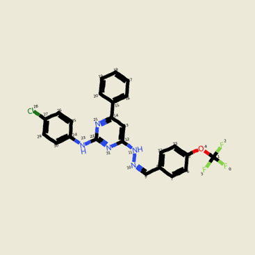 FC(F)(F)Oc1ccc(/C=N\Nc2cc(-c3ccccc3)nc(Nc3ccc(Cl)cc3)n2)cc1